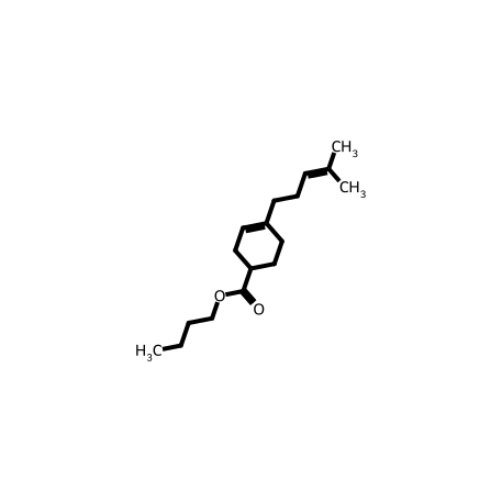 CCCCOC(=O)C1CC=C(CCC=C(C)C)CC1